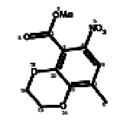 COC(=O)c1c([N+](=O)[O-])cc(C)c2c1OCCO2